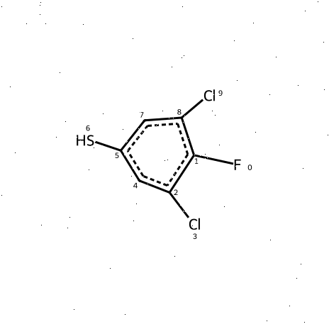 Fc1c(Cl)cc(S)cc1Cl